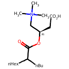 CCCCCCC(CCCC)C(=O)O[C@H](CC(=O)O)C[N+](C)(C)C